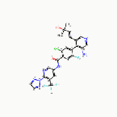 CC(C)(O)/C=C/c1cncc(N)c1-c1cc(Cl)c(C(=O)Nc2cnc(-n3nccn3)c(C(F)(F)F)c2)cc1F